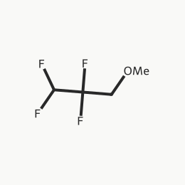 COCC(F)(F)C(F)F